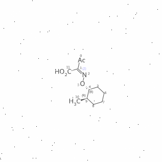 CC(=O)/C(=N/O[C@@H]1CCCC[C@H]1C)C(=O)O